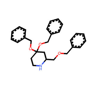 c1ccc(COCC2CC(OCc3ccccc3)(OCc3ccccc3)CCN2)cc1